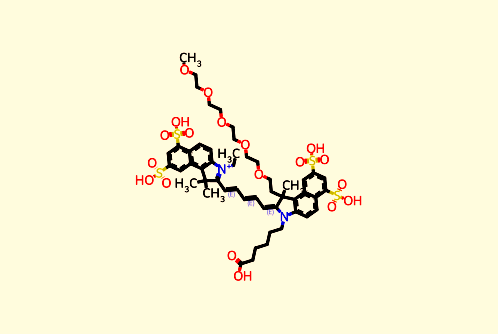 CC[N+]1=C(/C=C/C=C/C=C2/N(CCCCCC(=O)O)c3ccc4c(S(=O)(=O)O)cc(S(=O)(=O)O)cc4c3C2(C)CCOCCOCCOCCOCCOC)C(C)(C)c2c1ccc1c(S(=O)(=O)O)cc(S(=O)(=O)O)cc21